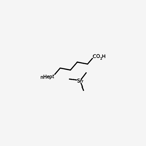 CCCCCCCCCCCC(=O)O.[CH3][Sn]([CH3])[CH3]